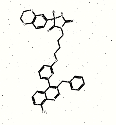 CCC1(c2ccc3c(c2)OCCO3)NC(=O)N(CCCCOc2cccc(-c3c(Cc4ccccc4)cnc4c(C(F)(F)F)cccc34)c2)C1=O